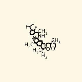 Cc1nnc(N[C@H](C)c2cccc(C(F)F)c2F)c2cc3c(cc12)C(C)(C)C(=O)N3CC1COCCN1C